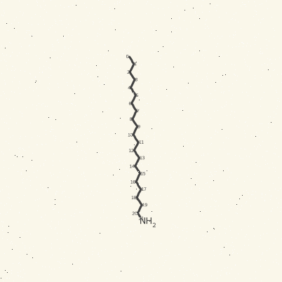 CCCCCCCCCCCCCCCCCC[CH]CCN